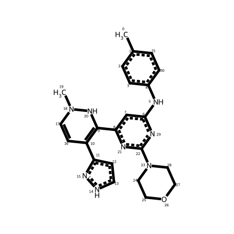 Cc1ccc(Nc2cc(C3=C(c4cc[nH]n4)C=CN(C)N3)nc(N3CCOCC3)n2)cc1